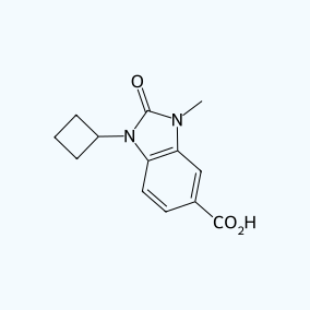 Cn1c(=O)n(C2CCC2)c2ccc(C(=O)O)cc21